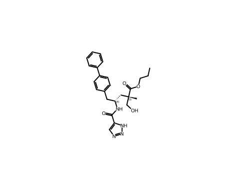 CCCOC(=O)[C@](C)(CO)C[C@@H](Cc1ccc(-c2ccccc2)cc1)NC(=O)c1cnn[nH]1